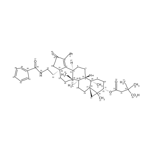 CC(C)C1=C2[C@H]3CC[C@@H]4[C@@]5(C)CC[C@H](OC(=O)CC(C)(C)C(=O)O)C6(C)C[C@]65CC[C@@]4(C)[C@]3(C)CC[C@@]2(CCNC(=O)c2ccccc2)CC1=O